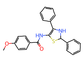 COc1ccc(C(=O)NC2=C(c3ccccc3)NC(c3ccccc3)S2)cc1